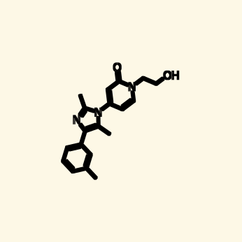 Cc1cccc(-c2nc(C)n(-c3ccn(CCO)c(=O)c3)c2C)c1